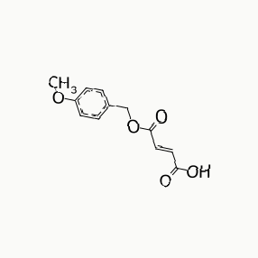 COc1ccc(COC(=O)C=CC(=O)O)cc1